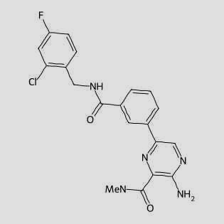 CNC(=O)c1nc(-c2cccc(C(=O)NCc3ccc(F)cc3Cl)c2)cnc1N